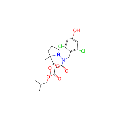 COC(=O)C1(C)CCCN1N(Cc1c(Cl)cc(O)cc1Cl)C(=O)CC(=O)OCC(C)C